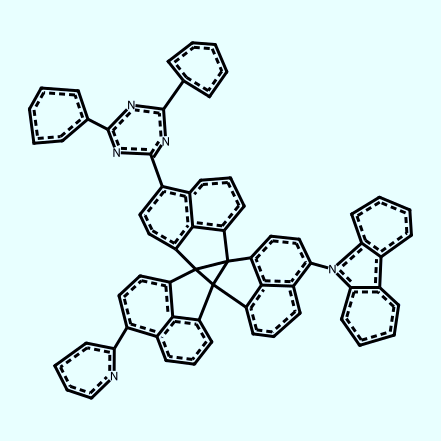 c1ccc(-c2nc(-c3ccccc3)nc(-c3ccc4c5c(cccc35)C35c6ccc(-n7c8ccccc8c8ccccc87)c7cccc(c67)C36c3cccc7c(-c8ccccn8)ccc(c37)C465)n2)cc1